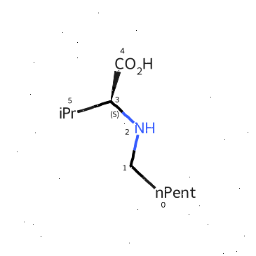 CCCCCCN[C@H](C(=O)O)C(C)C